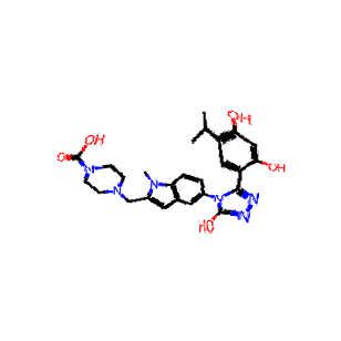 CC(C)c1cc(-c2nnc(O)n2-c2ccc3c(c2)cc(CN2CCN(C(=O)O)CC2)n3C)c(O)cc1O